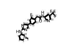 CN1C=C=CC(Nc2ncc(-c3ccc(CC(=O)Nc4cncc(C(F)(F)F)c4)c(F)c3)cn2)=C1